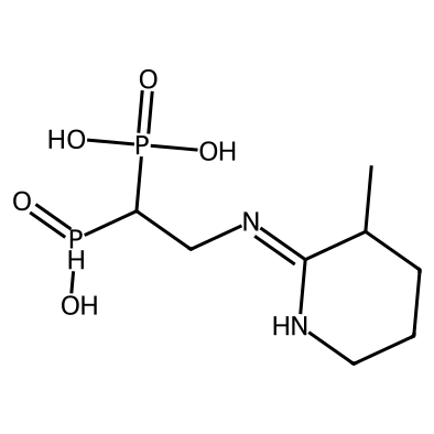 CC1CCCNC1=NCC([PH](=O)O)P(=O)(O)O